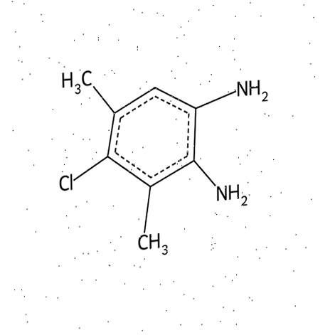 Cc1cc(N)c(N)c(C)c1Cl